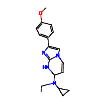 CCN(C1CC1)C1C=Cn2cc(-c3ccc(OC)cc3)nc2N1